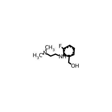 CN(C)CCNc1c(F)cccc1CO